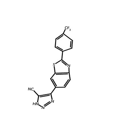 N#Cc1[nH]nnc1-c1ccc2nc(-c3ccc(C(F)(F)F)cc3)sc2c1